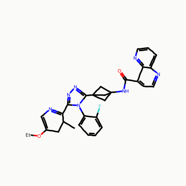 CCOC1=CN=C(c2nnc(C34CC(NC(=O)c5ccnc6cccnc56)(C3)C4)n2-c2ccccc2F)C(C)C1